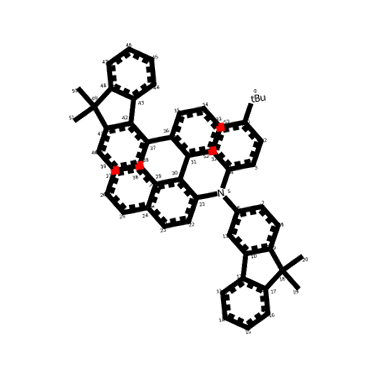 CC(C)(C)c1ccc(N(c2ccc3c(c2)-c2ccccc2C3(C)C)c2ccc3ccccc3c2-c2ccccc2-c2cccc3c2-c2ccccc2C3(C)C)cc1